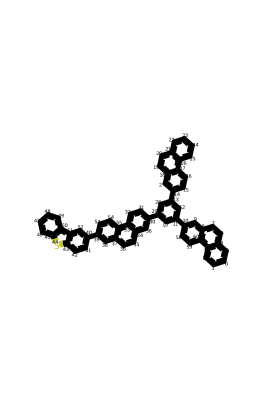 c1ccc2c(c1)ccc1cc(-c3cc(-c4ccc5c(ccc6ccccc65)c4)cc(-c4ccc5c(ccc6cc(-c7ccc8sc9ccccc9c8c7)ccc65)c4)c3)ccc12